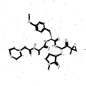 COc1ccc(C[C@H](NC(=O)C(C)NC(=O)CN2CCOCC2)C(=O)N[C@@H](CC2CCN(C)C2=O)C(=O)C2(C)CO2)cc1